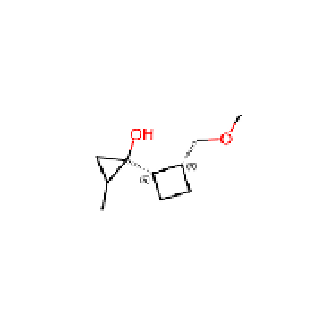 COC[C@@H]1CC[C@@H]1C1(O)CC1C